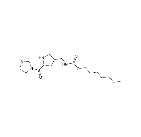 CCCCCCCOC(=O)NCC1CNC(C(=O)N2CCSC2)C1